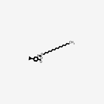 CCCCCCCCCCCCCCCCOc1nc2cc(C3CC3)ccc2c(=O)o1